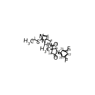 CCSc1nccc(CNC(=O)C2(C)CC(=O)N(c3cc(F)cc(F)c3)C2)n1